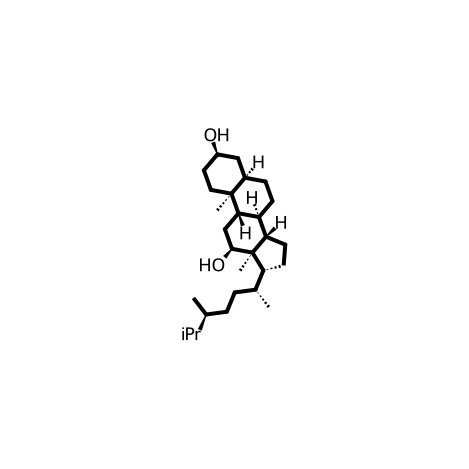 CC(C)[C@@H](C)CC[C@@H](C)[C@H]1CC[C@H]2[C@@H]3CC[C@@H]4C[C@H](O)CC[C@]4(C)[C@H]3C[C@H](O)[C@]12C